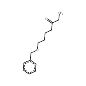 O=C(CCCCOCc1ccccc1)CC(F)(F)F